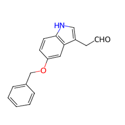 O=CCc1c[nH]c2ccc(OCc3ccccc3)cc12